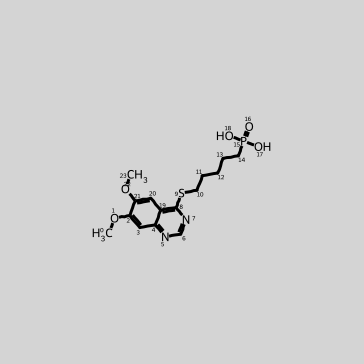 COc1cc2ncnc(SCCCCCP(=O)(O)O)c2cc1OC